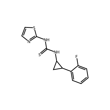 Fc1ccccc1C1CC1NC(=S)Nc1nccs1